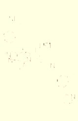 Cl.Cl.Cn1nc2c(=O)n(CC3(O)CCN(Cc4ccc(-c5ncco5)cc4Cl)CC3)cnc2c1-c1ccc(CN)cc1